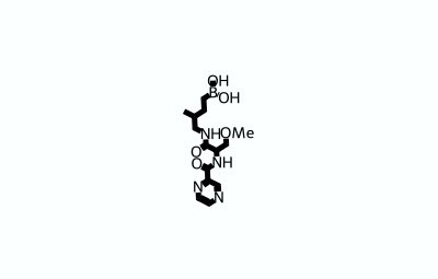 COCC(NC(=O)c1cnccn1)C(=O)NCC(C)CCB(O)O